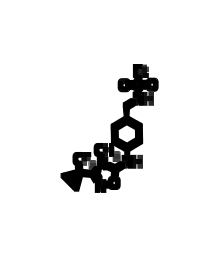 CCS(=O)(=O)NC[C@H]1CC[C@H](NC2ON=C(C3(C(F)(F)F)CC3)N2C)CC1